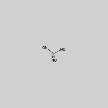 O=[N][SnH]([N]=O)[N]=O